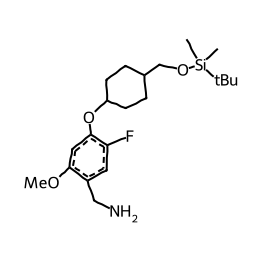 COc1cc(OC2CCC(CO[Si](C)(C)C(C)(C)C)CC2)c(F)cc1CN